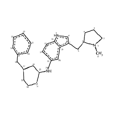 CN1CCCC1Cc1c[nH]c2ccc(NC3CC(Cc4ccccc4)CCS3)cc12